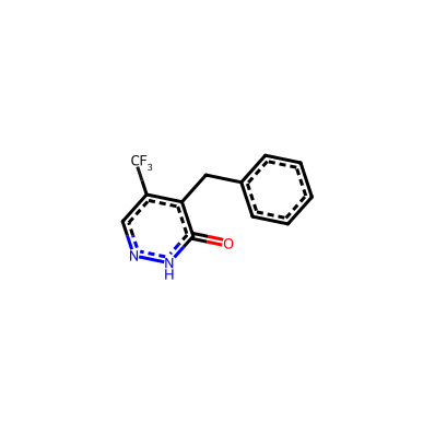 O=c1[nH]ncc(C(F)(F)F)c1Cc1ccccc1